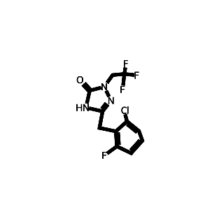 O=c1[nH]c(Cc2c(F)cccc2Cl)nn1CC(F)(F)F